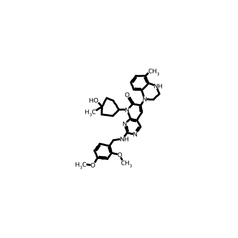 COc1ccc(CNc2ncc3cc(N4CCNc5c(C)cccc54)c(=O)n(C4CCC(C)(O)CC4)c3n2)c(OC)c1